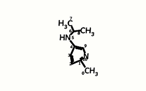 Cc1ccc(NC(C)C)cn1